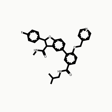 CNC(=O)C1c2cc(-c3cc(C(=O)NCC(C)C)ccc3OCc3ccncc3)ccc2OC1c1ccc(F)cc1